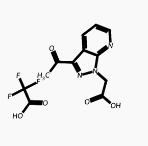 CC(=O)c1nn(CC(=O)O)c2ncccc12.O=C(O)C(F)(F)F